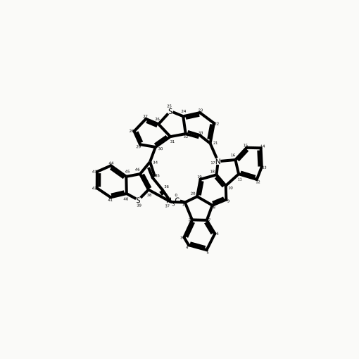 CC12c3ccccc3-c3cc4c5ccccc5n(c4cc31)-c1ccc3sc4cccc(c4c3c1)-c1ccc2c2sc3ccccc3c12